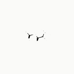 CCC(=O)OC(=O)[C@@H](N)CC